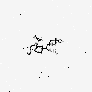 CC(=O)N1c2ccc(C(CN)CNCC(C)(C)O)cc2N(C(=O)C2CC2)C[C@@H]1C